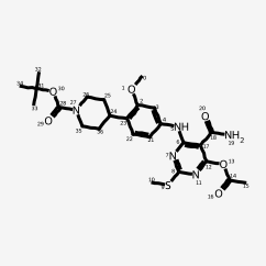 COc1cc(Nc2nc(SC)nc(OC(C)=O)c2C(N)=O)ccc1C1CCN(C(=O)OC(C)(C)C)CC1